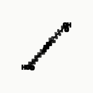 O=C(O)CCCCCCCCCSSSSSCCCCCCCCCC(=O)O